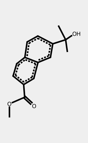 COC(=O)c1ccc2ccc(C(C)(C)O)cc2c1